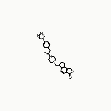 O=C1OCc2c1ccc1c2CCC1CN1CCN(C(=O)Cc2ccc(-n3cnnn3)cc2)CC1